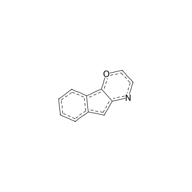 c1ccc2c3occnc-3cc2c1